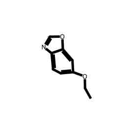 CCOc1ccc2n[c]oc2c1